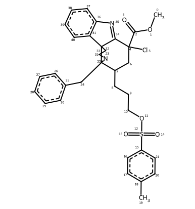 COC(=O)C1(Cl)CC(CCCOS(=O)(=O)c2ccc(C)cc2)C2N(Cc3ccccc3)CCC23C1=Nc1ccccc13